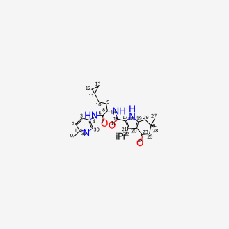 Cc1ccc(NC(=O)C(CCC2CC2)NC(=O)c2[nH]c3c(c2C(C)C)C(=O)CC(C)(C)C3)cn1